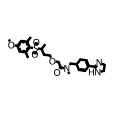 COc1cc(C)c(S(=O)(=O)C(C)CCOCC(=O)N(C)CC2C=CC(C3=NCCN3)=CC2)c(C)c1